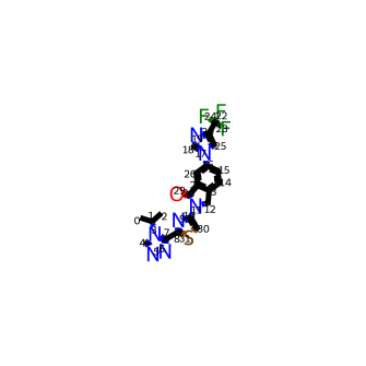 CC(C)n1cnnc1-c1nc(N2Cc3ccc(-n4cnc(C(F)(F)F)c4)cc3C2=O)cs1